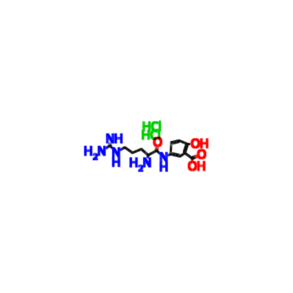 Cl.Cl.N=C(N)NCCC[C@H](N)C(=O)Nc1ccc(O)c(C(=O)O)c1